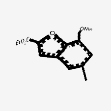 CCOC(=O)c1cc2cc(C)cc(OC)c2o1